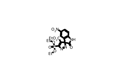 CCOC(=O)C1=C(P(=O)(OCC)OCC)N=NC12C(=O)Nc1ccc([N+](=O)[O-])cc12